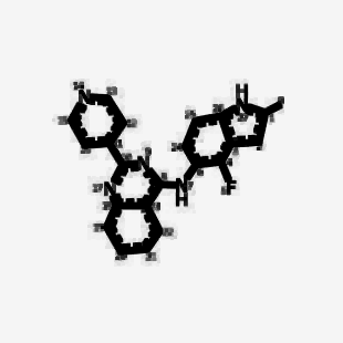 Cc1cc2c(F)c(Nc3nc(-c4ccncc4)nc4ccccc34)ccc2[nH]1